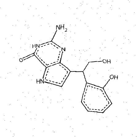 Nc1nc2c(C(CO)c3ccccc3O)c[nH]c2c(=O)[nH]1